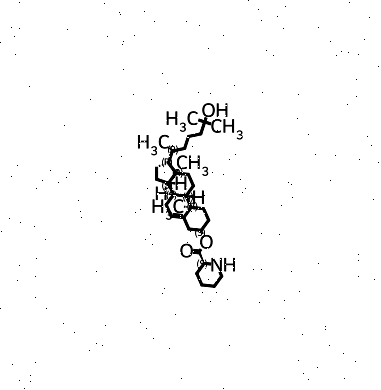 C[C@H](CCCC(C)(C)O)[C@H]1CC[C@H]2[C@@H]3CC=C4C[C@@H](OC(=O)[C@@H]5CCCCN5)CC[C@]4(C)[C@H]3CC[C@]12C